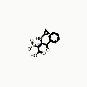 O=C(O)/C(=C(/NC1CC1)C(=O)c1ccccc1)[N+](=O)[O-]